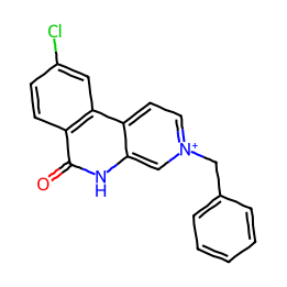 O=c1[nH]c2c[n+](Cc3ccccc3)ccc2c2cc(Cl)ccc12